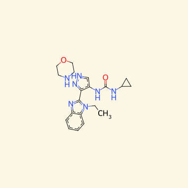 C1COCCN1.CCn1c(-c2n[nH]cc2NC(=O)NC2CC2)nc2ccccc21